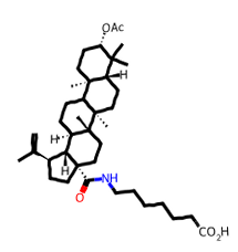 C=C(C)[C@@H]1CC[C@]2(C(=O)NCCCCCCC(=O)O)CC[C@]3(C)[C@H](CCC4[C@@]5(C)CC[C@H](OC(C)=O)C(C)(C)[C@@H]5CC[C@]43C)[C@@H]12